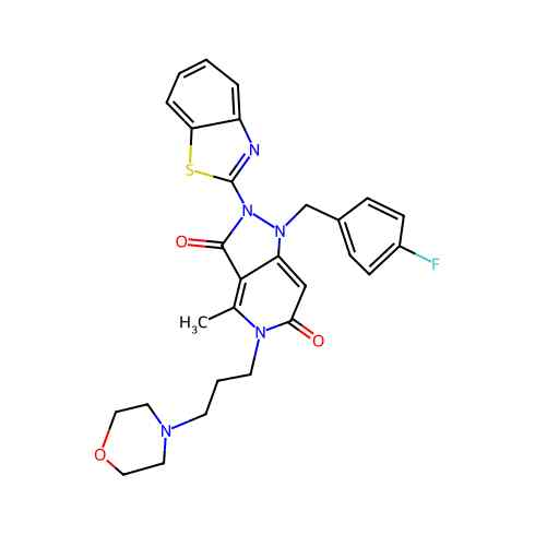 Cc1c2c(=O)n(-c3nc4ccccc4s3)n(Cc3ccc(F)cc3)c2cc(=O)n1CCCN1CCOCC1